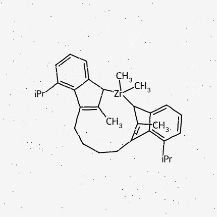 CC1=C2CCCCC3=C(C)[CH](c4cccc(C(C)C)c43)[Zr]([CH3])([CH3])[CH]1c1cccc(C(C)C)c12